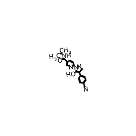 CC(C)NC(=O)c1ccc(-n2ncc(-c3ccc(C#N)cc3)c2O)nc1